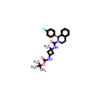 CC1(NC(=O)N2CCc3ccccc3[C@@H]2c2ccc(F)cc2)CC(NC(=O)OC(C)(C)C)C1